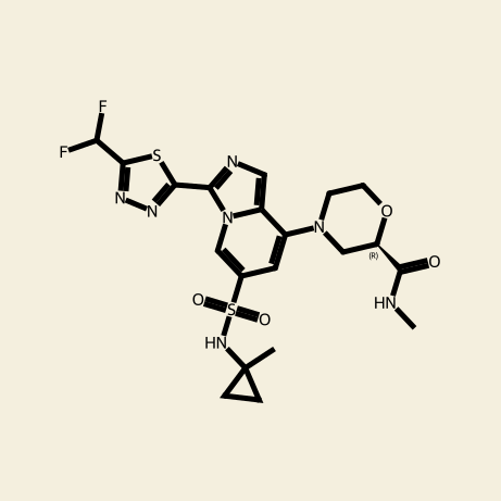 CNC(=O)[C@H]1CN(c2cc(S(=O)(=O)NC3(C)CC3)cn3c(-c4nnc(C(F)F)s4)ncc23)CCO1